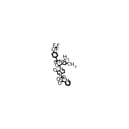 CC(C)CC(NC(=O)c1ccc(OC(F)(F)F)cc1)C(=O)N1CCC2C1C(=O)CN2S(=O)(=O)C(=O)c1ccccn1